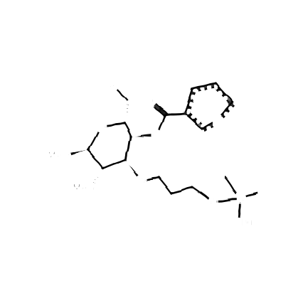 CO[C@H]1O[C@H](CBr)[C@@H](OC(=O)c2ccccc2)[C@@H](OCCCO[Si](C)(C)C(C)(C)C)[C@@H]1OC